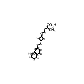 CC(CCO[C@H]1C[C@@H](CCc2ccc3c(n2)NCCC3)C1)C(=O)O